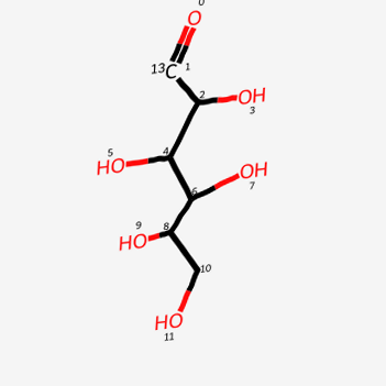 O=[13CH]C(O)C(O)C(O)C(O)CO